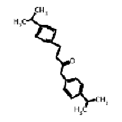 CC(C)c1ccc(CCC(=O)Cc2ccc(C(C)C)cc2)cc1